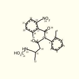 Cc1ccccc1N(C(=O)CC(C)NC(=O)O)C(=O)c1c(C)cccc1[N+](=O)[O-]